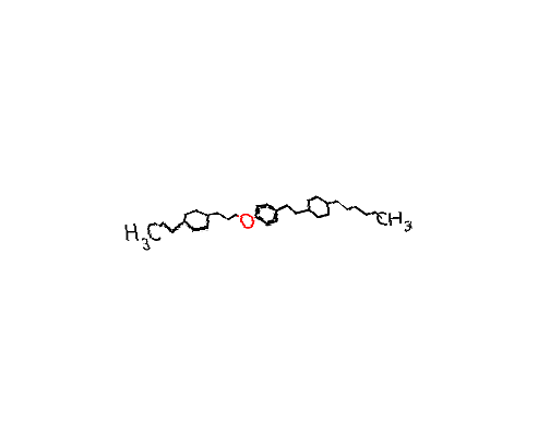 CCCCCCC1CCC(CCc2ccc(OCCCC3CCC(CCC)CC3)cc2)CC1